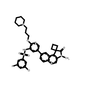 CN1C(=O)C2(CCC2)c2c1cnc1ccc(-c3cnc(OCCCN4CCCCC4)c(NS(=O)(=O)c4cc(F)cc(Cl)c4)c3)cc21